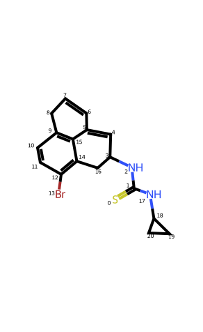 S=C(NC1C=C2C=CCc3ccc(Br)c(c32)C1)NC1CC1